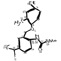 CCc1ccc(OCc2cc(C(F)F)ccc2NC(=O)NC)c(C)c1